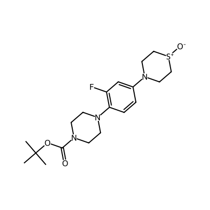 CC(C)(C)OC(=O)N1CCN(c2ccc(N3CC[S+]([O-])CC3)cc2F)CC1